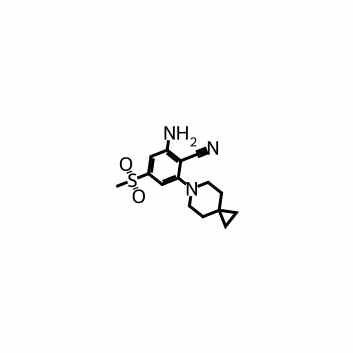 CS(=O)(=O)c1cc(N)c(C#N)c(N2CCC3(CC2)CC3)c1